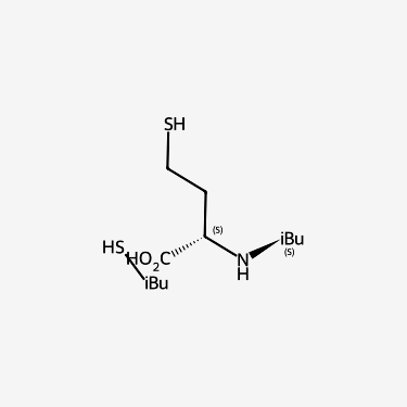 CCC(C)S.CC[C@H](C)N[C@@H](CCS)C(=O)O